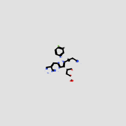 Cc1cc(-n2c(C(C)(C)CC#N)c([C@H]3CO[C@H](C(=O)O)C3)c3nc4[nH]ncc4cc32)ccc1F